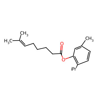 CC(C)=CCCCCC(=O)Oc1cc(C)ccc1C(C)C